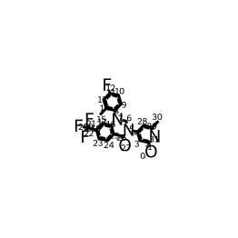 COc1cc(N2CN(c3ccc(F)cc3C)c3cc(C(F)(F)F)ccc3C2=O)cc(C)n1